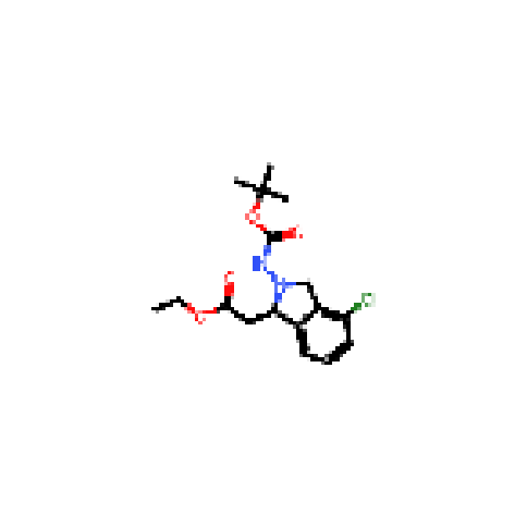 CCOC(=O)CC1c2cccc(Cl)c2CN1NC(=O)OC(C)(C)C